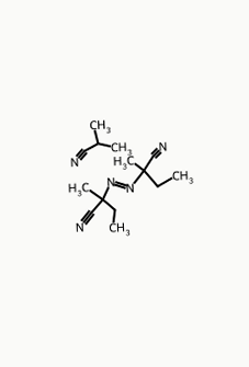 CC(C)C#N.CCC(C)(C#N)N=NC(C)(C#N)CC